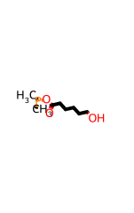 CP(C)OC(=O)CCCCCO